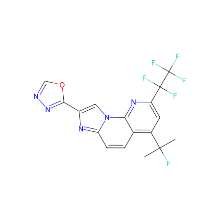 CC(C)(F)c1cc(C(F)(F)C(F)(F)F)nc2c1ccc1nc(-c3nnco3)cn12